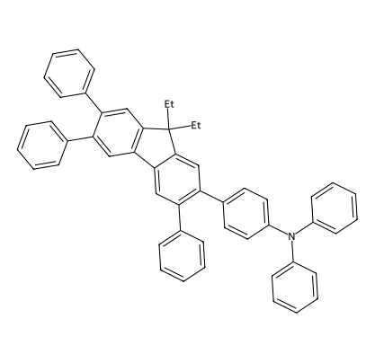 CCC1(CC)c2cc(-c3ccccc3)c(-c3ccccc3)cc2-c2cc(-c3ccccc3)c(-c3ccc(N(c4ccccc4)c4ccccc4)cc3)cc21